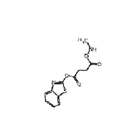 CNOC(=O)CCC(=O)Oc1nc2ccccc2s1